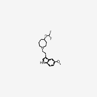 COc1ccc2[nH]cc(CCN3CCCC(OC(F)F)CC3)c2c1